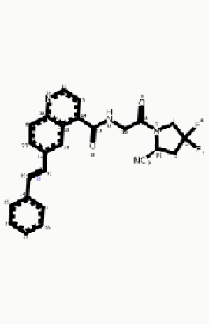 N#C[C@@H]1CC(F)(F)CN1C(=O)CNC(=O)c1ccnc2ccc(/C=C/c3ccccc3)cc12